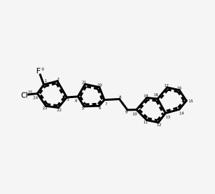 Fc1cc(-c2ccc(CCc3ccc4ccccc4c3)cc2)ccc1Cl